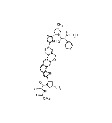 COC(=O)N[C@H](C(=O)N1C[C@@H](C)C[C@H]1c1nc2ccc3cc4c(cc3c2[nH]1)OCc1cc(-c2cnc([C@@H]3C[C@H](C)CN3C(=O)[C@H](NC(=O)O)c3ccccc3)[nH]2)ccc1-4)C(C)C